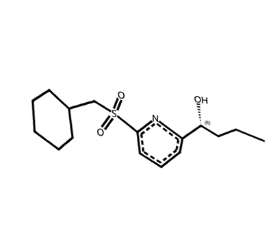 CCC[C@@H](O)c1cccc(S(=O)(=O)CC2CCCCC2)n1